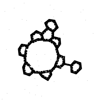 c1ccc(-c2nc3nc(n2)c2ccc4c5ccccc5c5ccc(cc5c4c2)c2cccc(c2)c2cccc(c2)c2cccc3c2)cc1